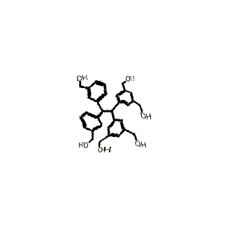 OCc1cccc(C(c2cccc(CO)c2)C(c2cc(CO)cc(CO)c2)c2cc(CO)cc(CO)c2)c1